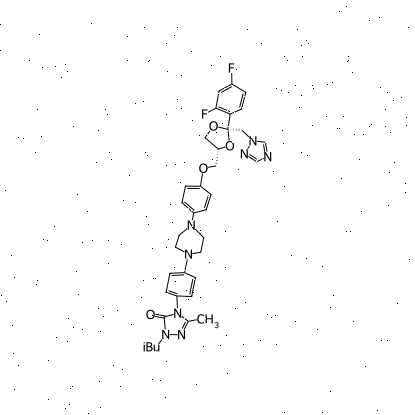 CCC(C)n1nc(C)n(-c2ccc(N3CCN(c4ccc(OC[C@@H]5CO[C@@](Cn6cncn6)(c6ccc(F)cc6F)O5)cc4)CC3)cc2)c1=O